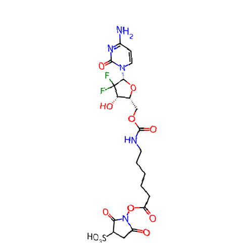 Nc1ccn([C@@H]2O[C@H](COC(=O)NCCCCCC(=O)ON3C(=O)CC(S(=O)(=O)O)C3=O)[C@H](O)C2(F)F)c(=O)n1